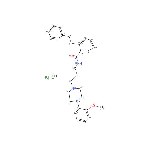 COc1ccccc1N1CCN(CCCNC(=O)c2ccccc2CCc2ccccc2)CC1.Cl.Cl